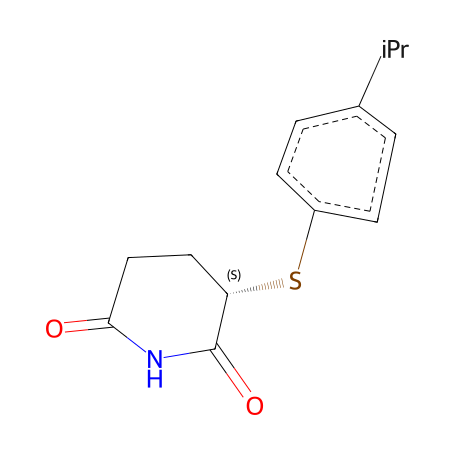 CC(C)c1ccc(S[C@H]2CCC(=O)NC2=O)cc1